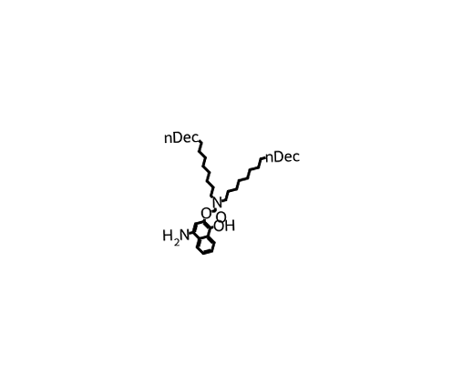 CCCCCCCCCCCCCCCCCCN(CCCCCCCCCCCCCCCCCC)C(=O)Oc1cc(N)c2ccccc2c1O